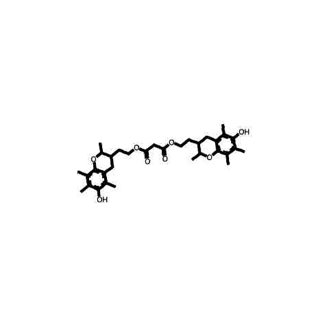 Cc1c(C)c2c(c(C)c1O)CC(CCOC(=O)CC(=O)OCCC1Cc3c(C)c(O)c(C)c(C)c3OC1C)C(C)O2